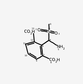 CS(=O)(=O)C(N)c1c(C(=O)O)cccc1C(=O)O